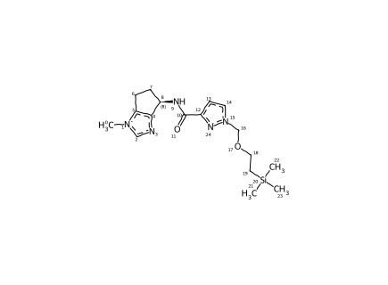 Cn1cnc2c1CC[C@H]2NC(=O)c1ccn(COCC[Si](C)(C)C)n1